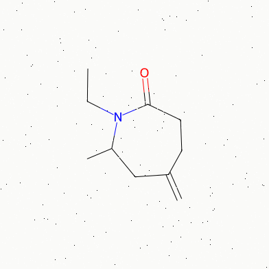 C=C1CCC(=O)N(CC)C(C)C1